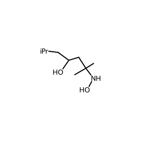 CC(C)CC(O)CC(C)(C)NO